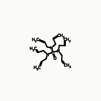 C=CCN(CC=C)P(=O)(N(CC=C)CC=C)N(CC=C)CC=C